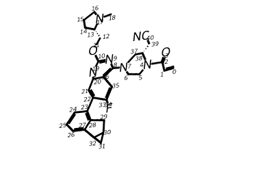 C=CC(=O)N1CCN(c2nc(OC[C@@H]3CCCN3C)nc3cc(-c4cccc5c4CC4CC54)c(F)cc23)C[C@@H]1CC#N